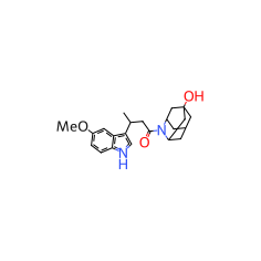 COc1ccc2[nH]cc(C(C)CC(=O)N3C4CC5CC3CC(O)(C5)C4)c2c1